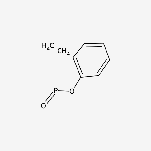 C.C.O=POc1ccccc1